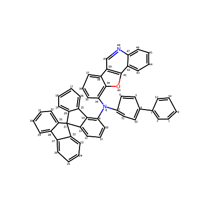 c1ccc(-c2ccc(N(c3cccc4c3-c3ccccc3C43c4ccccc4-c4ccccc43)c3cccc4c3oc3c5ccccc5ncc43)cc2)cc1